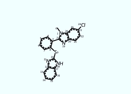 Cn1c(-c2ccccc2Sc2nc3ccccc3[nH]2)nc2ccc(Cl)cc21